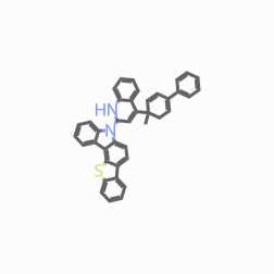 CC1(C2=CC(n3c4ccccc4c4c5sc6ccccc6c5ccc43)Nc3ccccc32)C=CC(c2ccccc2)=CC1